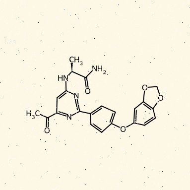 CC(=O)c1cc(N[C@@H](C)C(N)=O)nc(-c2ccc(Oc3ccc4c(c3)OCO4)cc2)n1